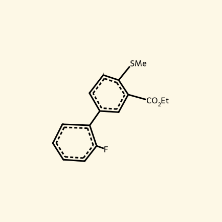 CCOC(=O)c1cc(-c2ccccc2F)c[c]c1SC